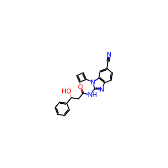 N#Cc1ccc2nc(NC(=O)C[C@@H](O)c3ccccc3)n(C3=CC=C3)c2c1